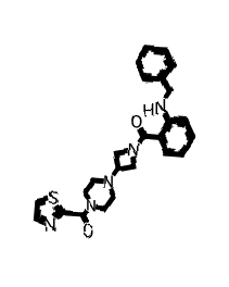 O=C(c1nccs1)N1CCN(C2CN(C(=O)c3ccccc3NCc3ccccc3)C2)CC1